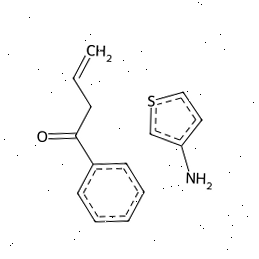 C=CCC(=O)c1ccccc1.Nc1ccsc1